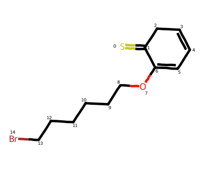 S=C1CC=CC=C1OCCCCCCBr